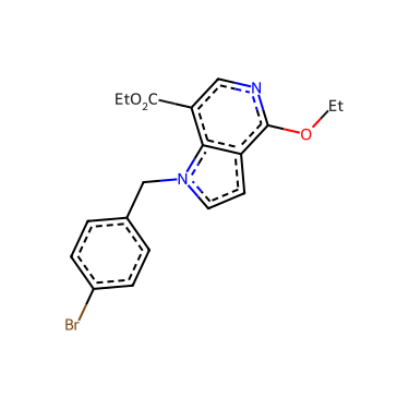 CCOC(=O)c1cnc(OCC)c2ccn(Cc3ccc(Br)cc3)c12